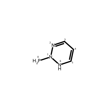 PN1N=CC=CN1